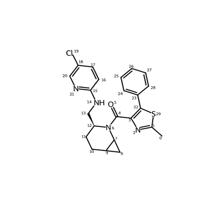 Cc1nc(C(=O)N2C3CC3CC[C@H]2CNc2ccc(Cl)cn2)c(-c2ccccc2)s1